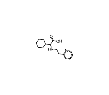 O=C(O)C(NCCc1ccccn1)C1CCCCC1